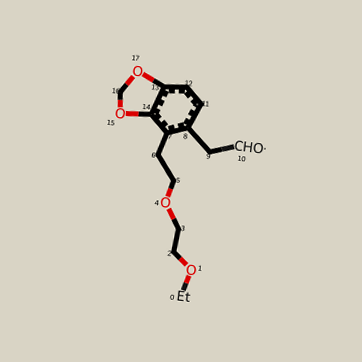 CCOCCOCCc1c(C[C]=O)ccc2c1OCO2